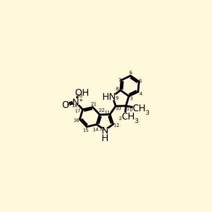 CC1(C)c2ccccc2NC1c1c[nH]c2ccc([N+](=O)O)cc12